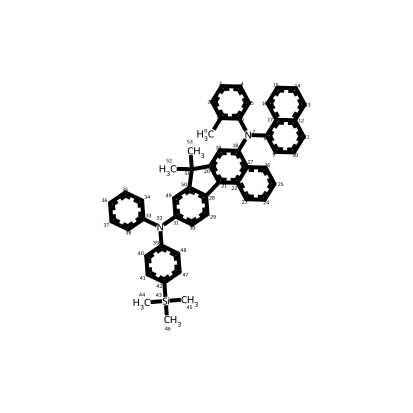 Cc1ccccc1N(c1cccc2ccccc12)c1cc2c(c3ccccc13)-c1ccc(N(c3ccccc3)c3ccc([Si](C)(C)C)cc3)cc1C2(C)C